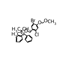 COCOc1cc(Cl)c(CO[Si](c2ccccc2)(c2ccccc2)C(C)(C)C)cc1Br